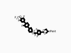 CCCCCC1COC(c2cc(F)c(C(F)(F)Oc3ccc(-c4ccc(-c5cc(F)c(OC(F)(F)F)c(F)c5)c(F)c4)cc3)c(F)c2)OC1